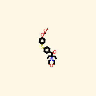 CCC(CC)(C(=O)c1ccc(Sc2ccc(OCOC)cc2)cc1)N1CCOCC1